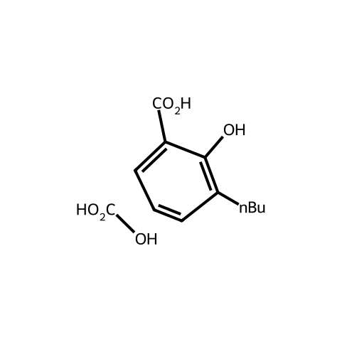 CCCCc1cccc(C(=O)O)c1O.O=C(O)O